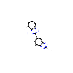 CCCc1nc2cc(-c3nc4cccc(C)c4[nH]3)cc(C)c2[nH]1.Cl